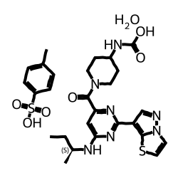 CC[C@H](C)Nc1cc(C(=O)N2CCC(NC(=O)O)CC2)nc(-c2cnn3ccsc23)n1.Cc1ccc(S(=O)(=O)O)cc1.O